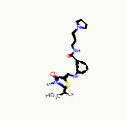 CCn1c(=C(C#N)C(=O)O)sc(=CNc2cccc(C(=O)NCCCN3CCCC3)c2)c1=O